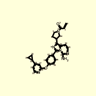 C=CC(=O)N1CCC(c2nc(-c3ccc(Oc4cc(C5CC5)ccn4)cc3)n3c(N)nccc23)C1